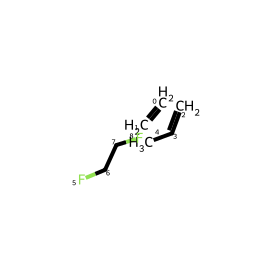 C=C.C=CC.FCCF